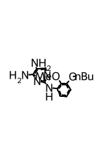 CCCCOc1cccc(Nc2ncc(N)c(N)n2)c1OC